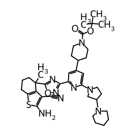 CC(C)(C)OC(=O)N1CCC(c2cc(-c3noc(C4(C)CCCc5sc(N)c(C#N)c54)n3)nc(N3CCC(N4CCCCC4)C3)c2)CC1